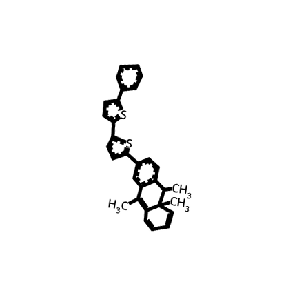 CC1=C2C=CC=CC2(C)C(C)c2ccc(-c3ccc(-c4ccc(-c5ccccc5)s4)s3)cc21